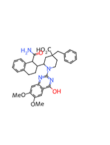 COc1cc2nc(N3CCC(Cc4ccccc4)(C(=O)O)CC3C3CCc4ccccc4C3C(N)=O)nc(O)c2cc1OC